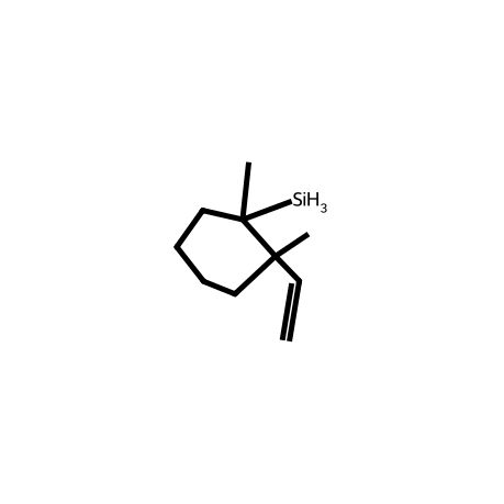 C=CC1(C)CCCCC1(C)[SiH3]